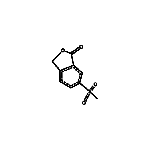 CS(=O)(=O)c1ccc2c(c1)C(=O)OC2